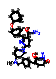 CN(Cc1ccc(C2CCC(=O)NC2=O)cc1)C1CCN(c2ccc(C(N)=O)c(-c3ccc(Oc4ccccc4)cc3)n2)CC1